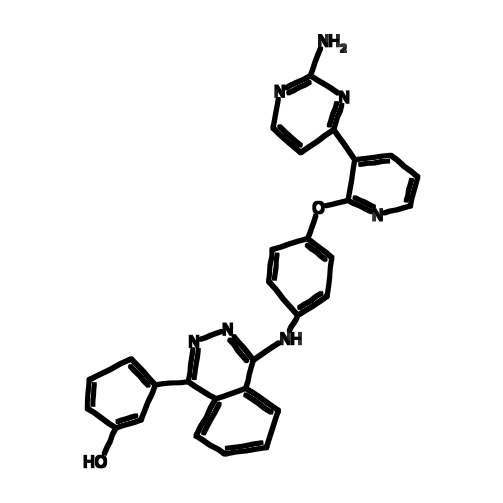 Nc1nccc(-c2cccnc2Oc2ccc(Nc3nnc(-c4cccc(O)c4)c4ccccc34)cc2)n1